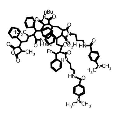 CCCCNC(=O)C(C(CC(c1ccccc1)C1C(=O)OC(=O)C1C)C(=O)O)C(CC1C(=O)N(CCCC)C(=O)C1C(CC1C(=O)N(CCCNC(=O)c2ccc(N(C)C)cc2)C(=O)C1C(CC(C(=O)O)C(C(=O)NCCCNC(=O)c1ccc(N(C)C)cc1)C(CC)c1ccccc1)c1ccccc1)c1ccccc1)c1ccccc1